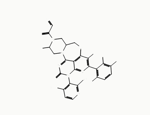 C=CC(=O)N1CC2COc3c(Cl)c(-c4c(O)ccc(F)c4F)nc4c3c(nc(=O)n4-c3c(C)ccnc3C(C)C)N2CC1C